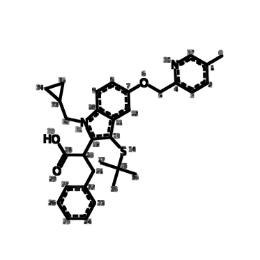 Cc1ccc(COc2ccc3c(c2)c(SC(C)(C)C)c(C(Cc2ccccc2)C(=O)O)n3CC2CC2)nc1